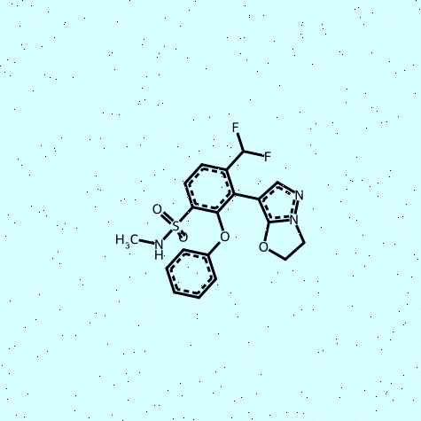 CNS(=O)(=O)c1ccc(C(F)F)c(-c2cnn3c2OCC3)c1Oc1ccccc1